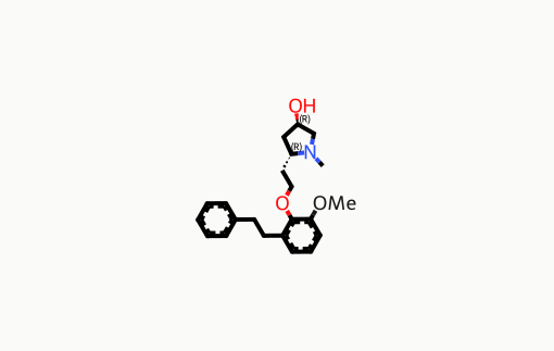 COc1cccc(CCc2ccccc2)c1OCC[C@@H]1C[C@@H](O)CN1C